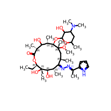 CC[C@H]1OC(=O)[C@H](C)C(O)[C@H](C)[C@@H](OC2OC(C)CC(N(C)C)C2O)[C@](C)(OC)C[C@@H](C)/C(=N\N=C(/C)c2ccc[nH]2)[C@H](C)[C@@H](O)[C@]1(C)O